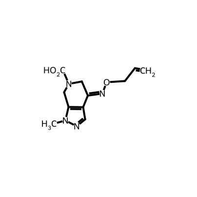 C=CCON=C1CN(C(=O)O)Cc2c1cnn2C